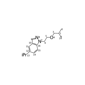 CC(I)COCCn1ncc2cc(C(C)C)ccc21